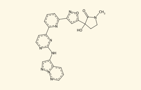 CN1CCC(O)(c2cc(-c3cccc(-c4ccnc(Nc5cnn6ncccc56)n4)n3)no2)C1=O